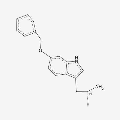 C[C@@H](N)Cc1c[nH]c2cc(OCc3ccccc3)ccc12